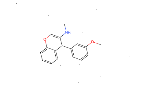 CNC1=COc2ccccc2C1c1cccc(OC)c1